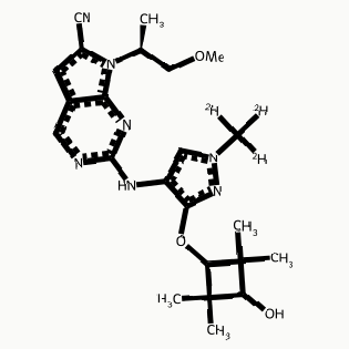 [2H]C([2H])([2H])n1cc(Nc2ncc3cc(C#N)n([C@@H](C)COC)c3n2)c(OC2C(C)(C)C(O)C2(C)C)n1